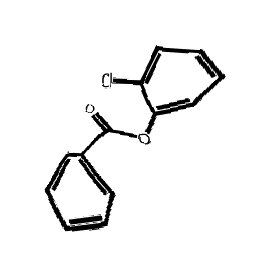 O=C(Oc1ccccc1Cl)c1[c]cccc1